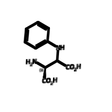 N[C@H](C(=O)O)C(Nc1ccccc1)C(=O)O